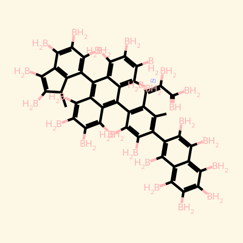 B=C(B)/C(B)=C(/B)c1c(C)c(-c2c(B)c(B)c3c(B)c(B)c(B)c(B)c3c2B)c(B)c(B)c1-c1c2c(B)c(B)c(B)c(B)c2c(-c2c(B)c(B)c(B)c3c2C(C)C(B)=C3B)c2c(B)c(B)c(B)c(B)c12